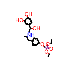 CCOP(=O)(COc1ccc(CC(C)NCC(O)c2ccc(O)c(O)c2)cc1)OCC